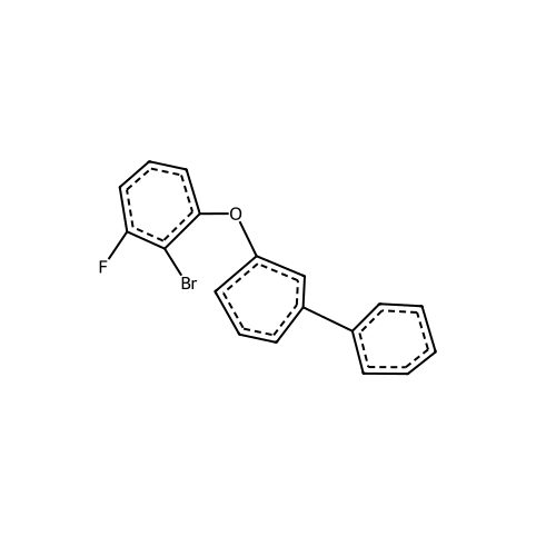 Fc1cccc(Oc2cccc(-c3ccccc3)c2)c1Br